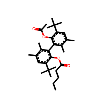 CCCCC(=O)Oc1c(C(C)(C)C)cc(C)c(C)c1-c1c(C)c(C)cc(C(C)(C)C)c1OC(C)=O